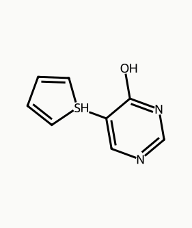 Oc1ncncc1[SH]1C=CC=C1